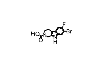 O=C(O)N1CCc2c([nH]c3cc(Br)c(F)cc23)C1